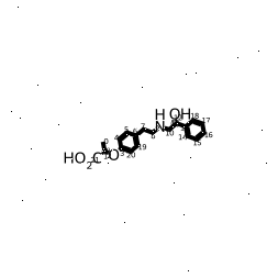 C[C@@H](Oc1ccc(CCNC[C@H](O)c2ccccc2)cc1)C(=O)O